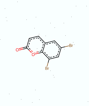 O=c1ccc2cc(Br)cc(Br)c2o1